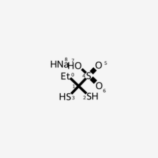 CCC(S)(S)S(=O)(=O)O.[NaH]